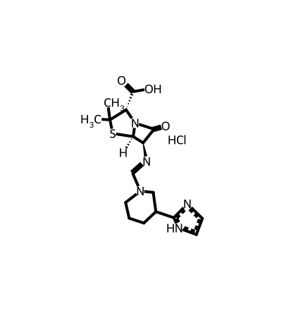 CC1(C)S[C@@H]2[C@H](N=CN3CCCC(c4ncc[nH]4)C3)C(=O)N2[C@H]1C(=O)O.Cl